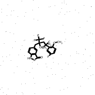 COc1ccc(F)cc1C(C)(C)CC(O)(Cc1ccc2c(c1)C(=O)[N]N2)C(F)(F)F